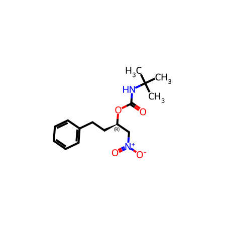 CC(C)(C)NC(=O)O[C@H](CCc1ccccc1)C[N+](=O)[O-]